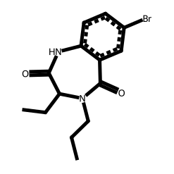 CCCN1C(=O)c2cc(Br)ccc2NC(=O)C1CC